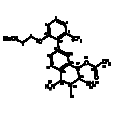 COCCOc1cccc(C(F)(F)F)c1-c1ccc2c(n1)N(OC(=O)C(F)(F)F)C(N)N(C)C2N